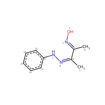 CC(=NO)C(C)=NNc1ccccc1